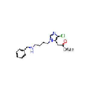 COC(=O)Cc1c(Cl)ncn1CCCCNCc1ccccc1